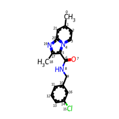 Cc1ccn2c(C(=O)NCc3cccc(Cl)c3)c(C)nc2c1